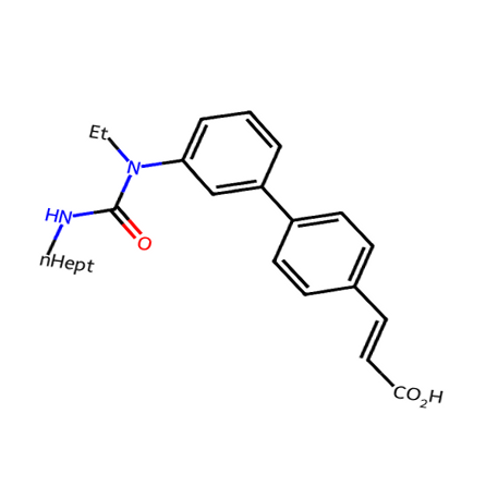 CCCCCCCNC(=O)N(CC)c1cccc(-c2ccc(C=CC(=O)O)cc2)c1